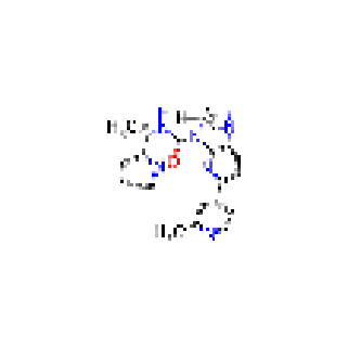 Cc1cc(-c2ccc3c(n2)N(C(=O)N[C@@H](C)c2ccccn2)[C@H]2CCN3C2)ccn1